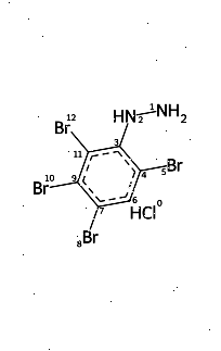 Cl.NNc1c(Br)cc(Br)c(Br)c1Br